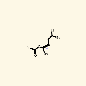 CCC(CC)C/C=C(\OC(=O)C(C)CC)C(C)C